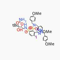 COc1ccc(CN(Cc2ccc(OC)cc2)S(=O)(=O)c2c(S(=O)(=O)NC[C@H](OC(N)=O)[C@@H](O)C(C)(C)C)ccc(I)c2-c2nnn(Cc3ccc(OC)cc3)n2)cc1